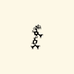 CS(=O)(=O)NC(=O)c1cc(C2CC2)c(OCC2CCN(C(C3CC3)C3CC3)CC2)cc1F